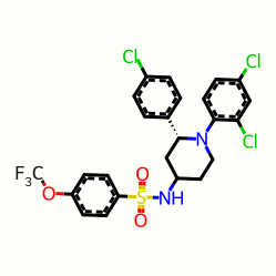 O=S(=O)(NC1CCN(c2ccc(Cl)cc2Cl)[C@@H](c2ccc(Cl)cc2)C1)c1ccc(OC(F)(F)F)cc1